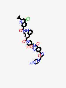 O=C(NCCC[C@H](Cc1ccccc1)C(=O)N1CCC(O)(Cn2cnc3cc(-c4ncc(CN5CCNCC5)o4)ccc3c2=O)CC1)c1ccc2c(Cl)cc(C3CC3)nc2c1